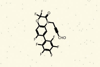 O=CC#CCN1C(=O)C(F)(F)Oc2cc(F)c(-c3c(F)c(F)c(F)c(F)c3F)cc21